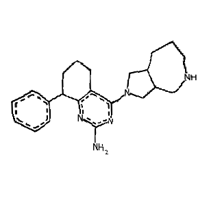 Nc1nc2c(c(N3CC4CCCNCC4C3)n1)CCCC2c1ccccc1